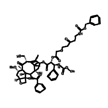 CO[C@H]1C[C@H]2OC[C@@]2(OC(C)=O)[C@H]2[C@H](OC(=O)c3ccccc3)[C@]3(O)C[C@H](OC(=O)[C@H](OC(=O)COCCC(=O)CCNC(=O)OCc4ccccc4)[C@@H](NC(=O)OC(C)(C)C)c4ccccc4)C(C)=C([C@@H](CO)C(=O)[C@]12C)C3(C)C